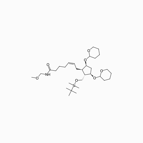 COCNC(=O)CCC/C=C\C[C@@H]1[C@@H](CO[Si](C)(C)C(C)(C)C)[C@H](OC2CCCCO2)C[C@@H]1OC1CCCCO1